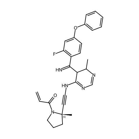 C=CC(=O)N1CCC[C@@]1(C)C#CNC1=NC=NC(C)C1C(=N)c1ccc(Oc2ccccc2)cc1F